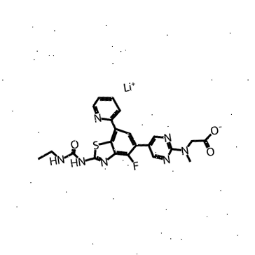 CCNC(=O)Nc1nc2c(F)c(-c3cnc(N(C)CC(=O)[O-])nc3)cc(-c3ccccn3)c2s1.[Li+]